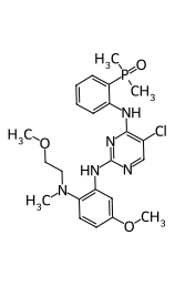 COCCN(C)c1ccc(OC)cc1Nc1ncc(Cl)c(Nc2ccccc2P(C)(C)=O)n1